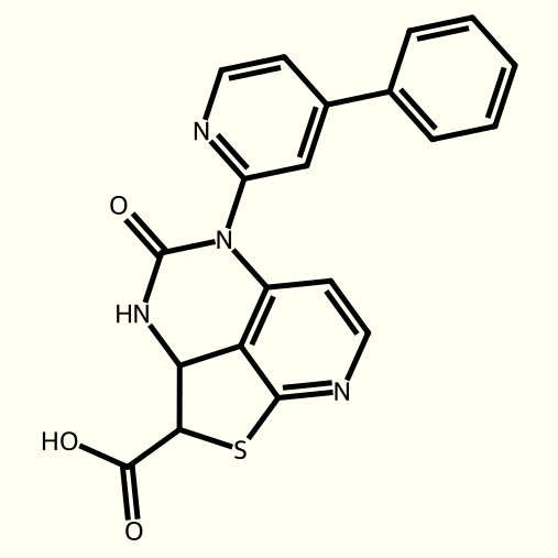 O=C(O)C1Sc2nccc3c2C1NC(=O)N3c1cc(-c2ccccc2)ccn1